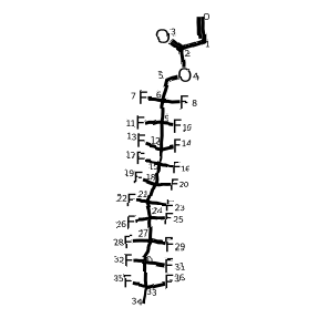 C=CC(=O)OCC(F)(F)C(F)(F)C(F)(F)C(F)(F)C(F)(F)C(F)(F)C(F)(F)C(F)(F)C(F)(F)C(C)(F)F